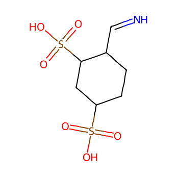 N=CC1CCC(S(=O)(=O)O)CC1S(=O)(=O)O